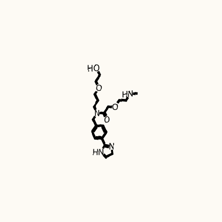 CNCCOCC(=O)N(CCCOCCO)Cc1ccc(C2=NCCN2)cc1